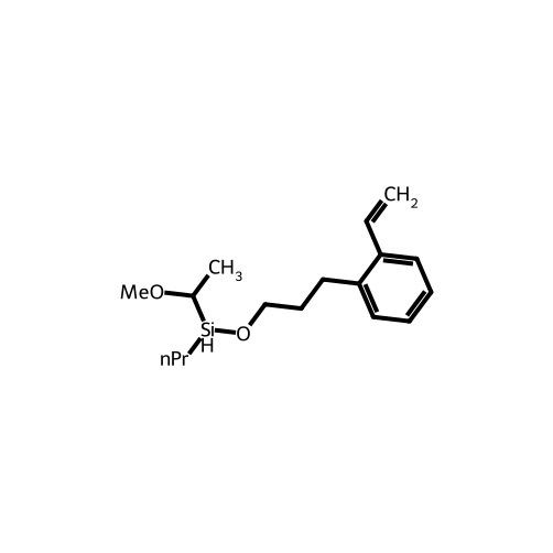 C=Cc1ccccc1CCCO[SiH](CCC)C(C)OC